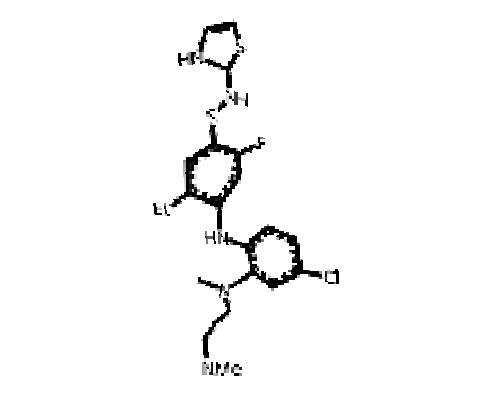 CCc1cc(SNC2NC=CS2)c(F)cc1Nc1ccc(Cl)cc1N(C)CCNC